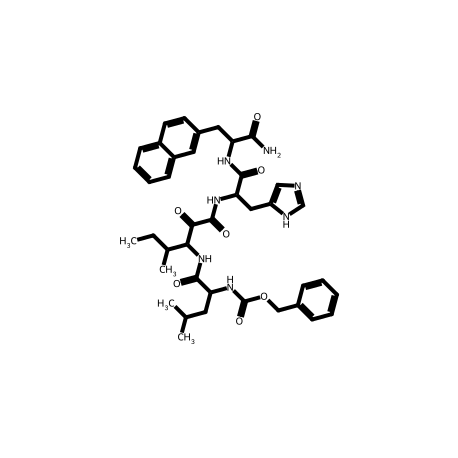 CCC(C)C(NC(=O)C(CC(C)C)NC(=O)OCc1ccccc1)C(=O)C(=O)NC(Cc1cnc[nH]1)C(=O)NC(Cc1ccc2ccccc2c1)C(N)=O